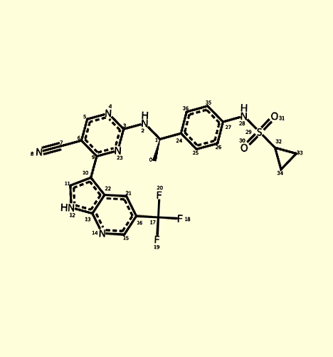 C[C@@H](Nc1ncc(C#N)c(-c2c[nH]c3ncc(C(F)(F)F)cc23)n1)c1ccc(NS(=O)(=O)C2CC2)cc1